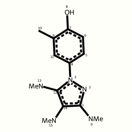 CNc1nn(-c2ccc(O)c(C)c2)c(NC)c1NC